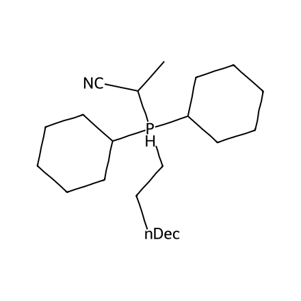 CCCCCCCCCCCC[PH](C(C)C#N)(C1CCCCC1)C1CCCCC1